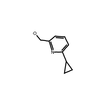 [O]Cc1cccc(C2CC2)n1